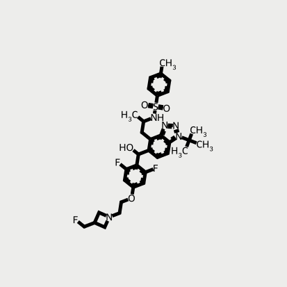 Cc1ccc(S(=O)(=O)NC(C)Cc2c(C(O)c3c(F)cc(OCCN4CC(CF)C4)cc3F)ccc3c2nnn3C(C)(C)C)cc1